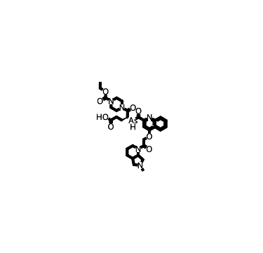 CCOC(=O)N1CCN(C(=O)[C@H](CCC(=O)O)[AsH]C(=O)c2cc(OCC(=O)N3CCCC4CN(C)CC43)c3ccccc3n2)CC1